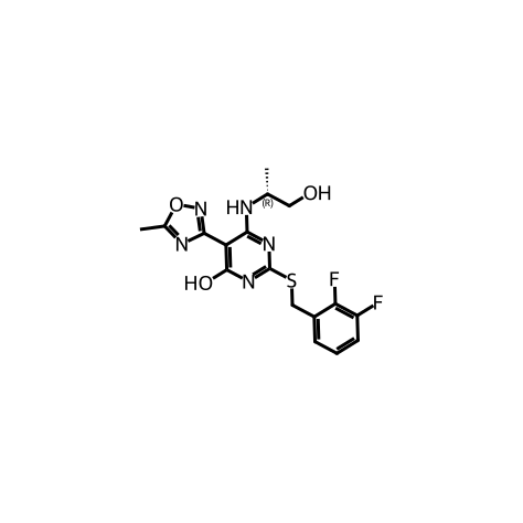 Cc1nc(-c2c(O)nc(SCc3cccc(F)c3F)nc2N[C@H](C)CO)no1